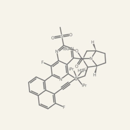 CC(C)[Si](C#Cc1c(F)ccc2cccc(-c3nc4c5c(nc(S(C)(=O)=O)nc5c3F)N3C[C@@H]5CC[C@H]([C@H]3CO4)N5C(=O)OC(C)(C)C)c12)(C(C)C)C(C)C